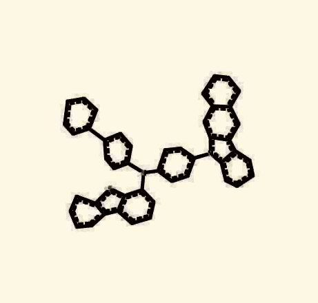 c1ccc(-c2ccc(N(c3ccc(-n4c5ccccc5c5cc6ccccc6cc54)cc3)c3cccc4c3sc3ccccc34)cc2)cc1